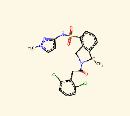 C[C@H]1c2cccc(S(=O)(=O)Nc3ccn(C)n3)c2CN1C(=O)Cc1c(Cl)cccc1Cl